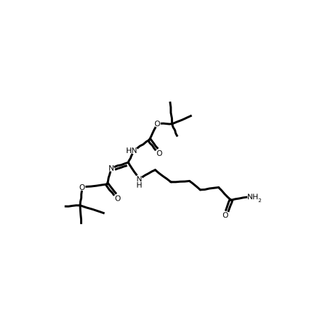 CC(C)(C)OC(=O)/N=C(\NCCCCCC(N)=O)NC(=O)OC(C)(C)C